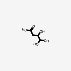 O=C(O)CC(O)C(O)O